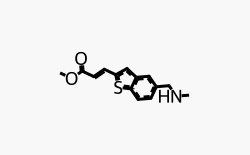 CNCc1ccc2sc(/C=C/C(=O)OC)cc2c1